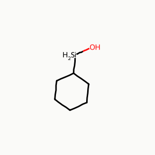 O[SiH2]C1CCCCC1